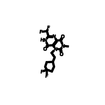 Cn1c(=O)c2nc(C(F)F)[nH]c(=O)c2n(CCC2CCC(F)(F)CC2)c1=O